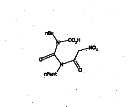 CCCCCN(C(=O)C[N+](=O)[O-])C(=O)N(CCCC)C(=O)O